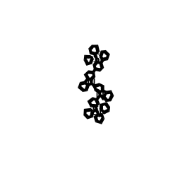 c1ccc([Si](c2ccccc2)(c2ccccc2)c2cccc(-n3c4ccccc4c4ccc(-n5c6ccccc6c6ccc(-c7ccc8c(c7)[Si](c7ccccc7)(c7ccccc7)c7ccccc7-8)cc65)cc43)c2)cc1